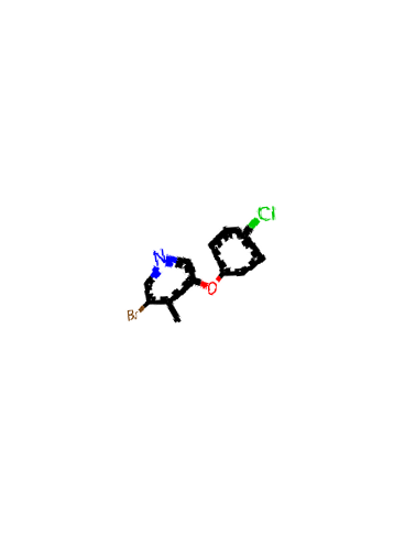 Cc1c(Br)cncc1Oc1ccc(Cl)cc1